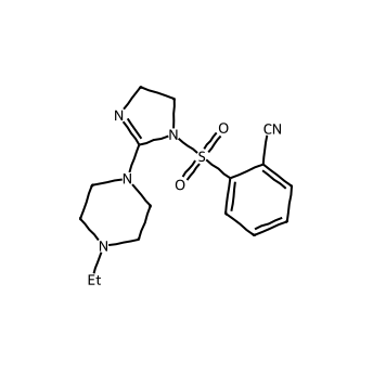 CCN1CCN(C2=NCCN2S(=O)(=O)c2ccccc2C#N)CC1